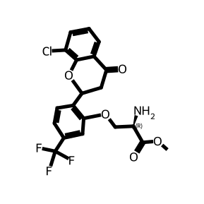 COC(=O)[C@H](N)COc1cc(C(F)(F)F)ccc1C1CC(=O)c2cccc(Cl)c2O1